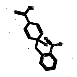 O=[N+]([O-])c1ccccc1CC1(Cl)C=CC(C(=S)S)C=C1